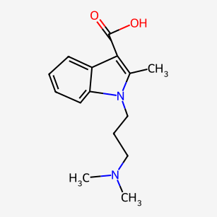 Cc1c(C(=O)O)c2ccccc2n1CCCN(C)C